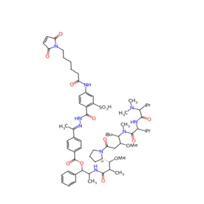 CCC(C)C(C(CC(=O)N1CCC[C@H]1C(OC)C(C)C(=O)NC(C)C(OC(=O)c1ccc(C(C)=NNC(=O)c2ccc(NC(=O)CCCCCN3C(=O)C=CC3=O)cc2S(=O)(=O)O)cc1)c1ccccc1)OC)N(C)C(=O)C(NC(=O)C(C(C)C)N(C)C)C(C)C